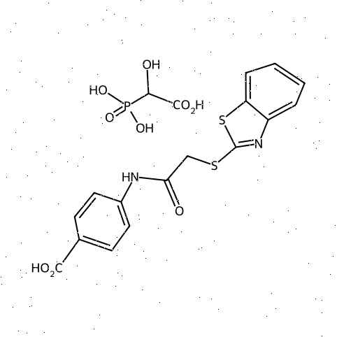 O=C(CSc1nc2ccccc2s1)Nc1ccc(C(=O)O)cc1.O=C(O)C(O)P(=O)(O)O